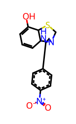 O=[N+]([O-])c1ccc(C2CN3CSC4C(O)=CC=CC43N2)cc1